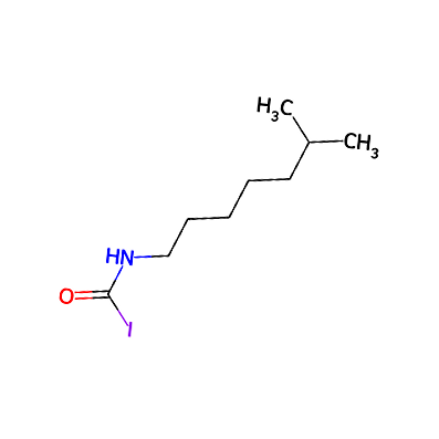 CC(C)CCCCCNC(=O)I